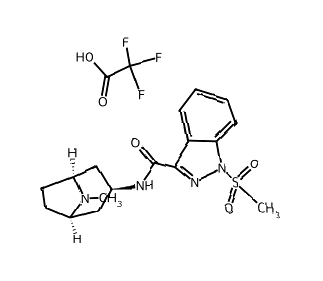 CN1[C@@H]2CC[C@H]1C[C@@H](NC(=O)c1nn(S(C)(=O)=O)c3ccccc13)C2.O=C(O)C(F)(F)F